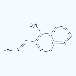 O=[N+]([O-])c1c(/C=N/O)ccc2ncccc12